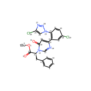 CC(C)(C)OC(=O)[C@H](Cc1ccccc1)n1cnc(-c2cc(Cl)ccc2-n2cc(Cl)nn2)cc1=O